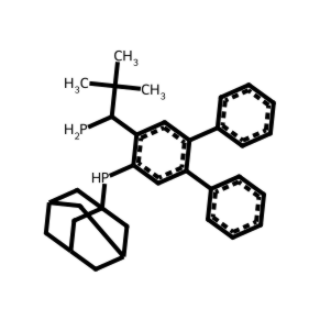 CC(C)(C)C(P)c1cc(-c2ccccc2)c(-c2ccccc2)cc1PC12CC3CC(CC(C3)C1)C2